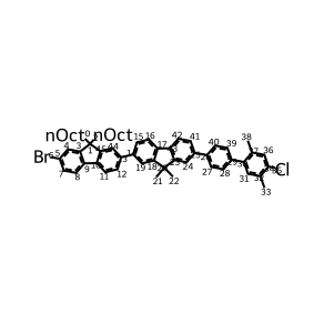 CCCCCCCCC1(CCCCCCCC)c2cc(Br)ccc2-c2ccc(-c3ccc4c(c3)C(C)(C)c3cc(-c5ccc(-c6cc(C)c(Cl)cc6C)cc5)ccc3-4)cc21